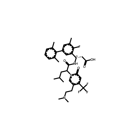 Cc1cc(-c2c(C)cccc2C)cc([C@H](CC(=O)O)NC(=O)C(CC(C)C)n2cc(CCN(C)C)c(C(F)(F)F)cc2=O)c1F